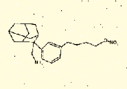 NCC1(c2cccc(CCCCO[N+](=O)[O-])c2)C2CC3CC(C2)CC1C3